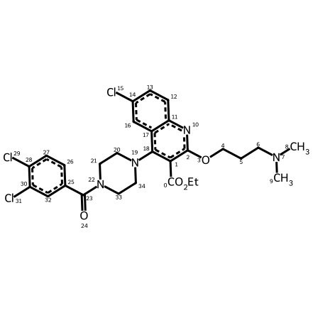 CCOC(=O)c1c(OCCCN(C)C)nc2ccc(Cl)cc2c1N1CCN(C(=O)c2ccc(Cl)c(Cl)c2)CC1